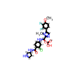 COc1ccc(-c2cnc(C(=O)Nc3ccc(C(=O)NC4CCNC4)c(Cl)c3)n2C)c(F)c1F.O=CO